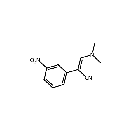 CN(C)C=C(C#N)c1cccc([N+](=O)[O-])c1